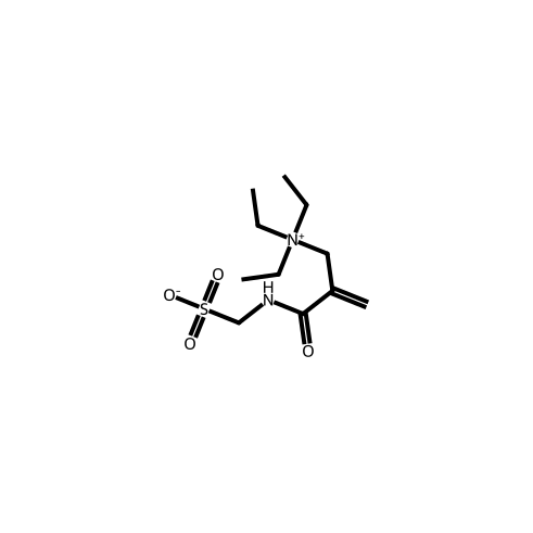 C=C(C[N+](CC)(CC)CC)C(=O)NCS(=O)(=O)[O-]